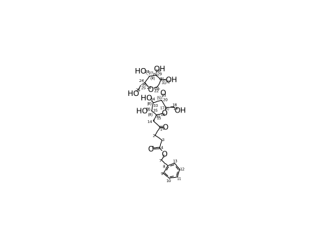 O=C(CCC(=O)OCc1ccccc1)C[C@@H]1O[C@H](CO)[C@@H](O[C@@H]2O[C@H](CO)[C@H](O)[C@H](O)[C@H]2O)[C@H](O)[C@H]1O